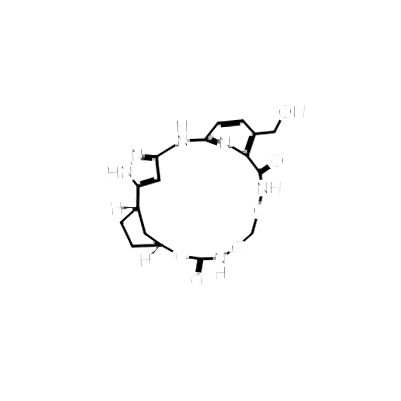 O=C1NCCCNC(=O)c2nc(ccc2CO)Nc2cc([nH]n2)[C@H]2CC[C@H](C2)O1